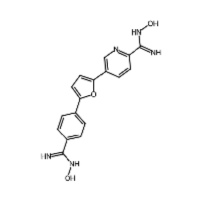 N=C(NO)c1ccc(-c2ccc(-c3ccc(C(=N)NO)nc3)o2)cc1